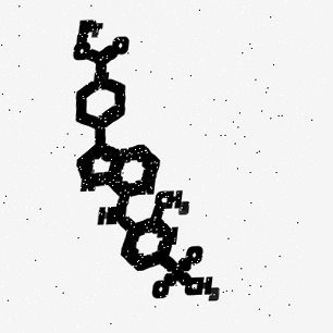 Cc1nc(S(C)(=O)=O)ccc1Nc1nccn2c(C3=CCN(C(=O)OC(C)C)CC3)cnc12